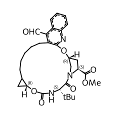 COC(=O)[C@@H]1C[C@@H]2CN1C(=O)[C@H](C(C)(C)C)NC(=O)O[C@@H]1CC1CCCCCc1c(nc3ccccc3c1C=O)O2